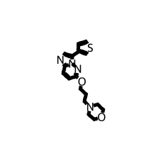 c1cc(-c2cnc3ccc(OCCCN4CCOCC4)nn23)cs1